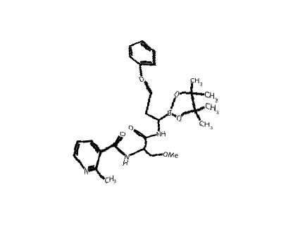 COCC(NC(=O)c1cccnc1C)C(=O)NC(CCOc1ccccc1)B1OC(C)(C)C(C)(C)O1